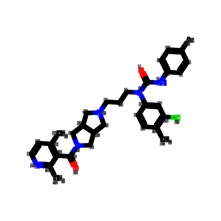 CC(=O)c1ccc(NC(=O)N(CCCN2CC3CN(C(=O)c4c(C)ccnc4C)CC3C2)c2ccc(C)c(Cl)c2)cc1